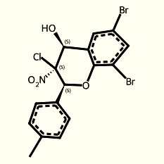 Cc1ccc([C@@H]2Oc3c(Br)cc(Br)cc3[C@H](O)[C@@]2(Cl)[N+](=O)[O-])cc1